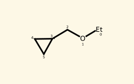 CCOC[C]1CC1